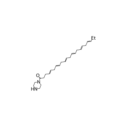 CCC=CCC=CCC=CCC=CCC=CCC=CCCC(=O)N1CCNCC1